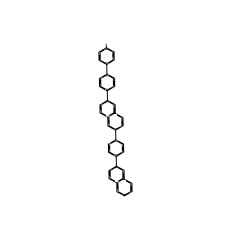 Fc1ccc(-c2ccc(-c3ccc4cc(-c5ccc(-c6ccc7ccccc7c6)cc5)ccc4c3)cc2)cc1